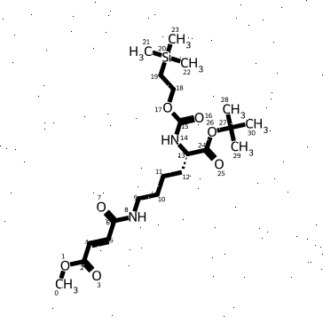 COC(=O)/C=C/C(=O)NCCCC[C@H](NC(=O)OCC[Si](C)(C)C)C(=O)OC(C)(C)C